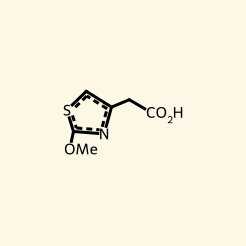 COc1nc(CC(=O)O)cs1